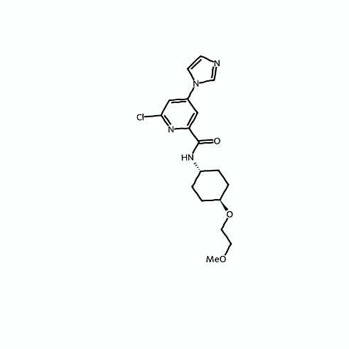 COCCO[C@H]1CC[C@H](NC(=O)c2cc(-n3ccnc3)cc(Cl)n2)CC1